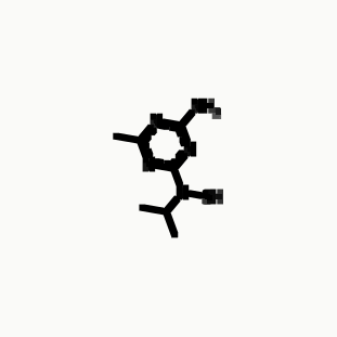 Cc1nc(N)nc(N(S)C(C)C)n1